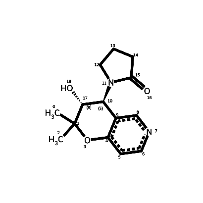 CC1(C)Oc2ccncc2[C@H](N2CCCC2=O)[C@H]1O